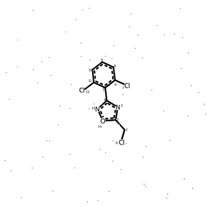 ClCc1nc(-c2c(Cl)cccc2Cl)no1